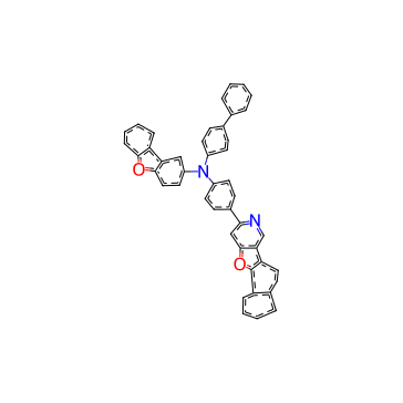 c1ccc(-c2ccc(N(c3ccc(-c4cc5oc6c7ccccc7ccc6c5cn4)cc3)c3ccc4oc5ccccc5c4c3)cc2)cc1